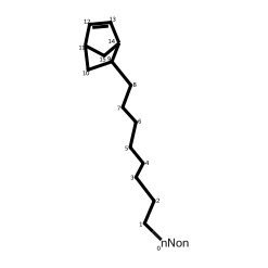 CCCCCCCCCCCCCCCCCC1CC2C=CC1C2